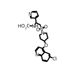 O=C(O)NC(CS(=O)(=O)N1CCC(Oc2ccnc3ccc(Cl)cc23)CC1)c1cccnc1